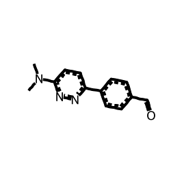 CN(C)c1ccc(-c2ccc(C=O)cc2)nn1